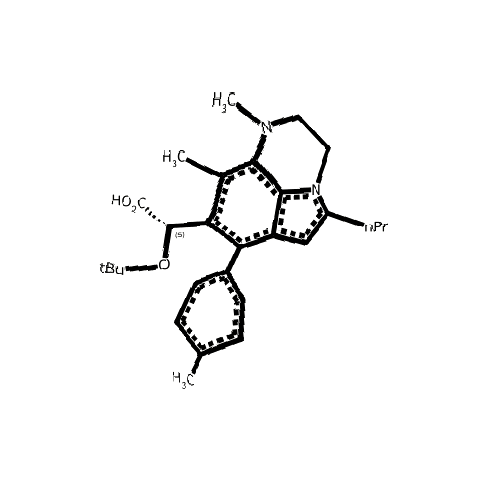 CCCc1cc2c(-c3ccc(C)cc3)c([C@H](OC(C)(C)C)C(=O)O)c(C)c3c2n1CCN3C